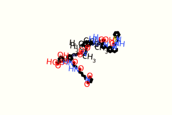 C/C(NCC1(C)CC2(C)CC(C)(C)CC2(OCCN(C)C(=O)OC/C=C/c2ccc(O[C@H]3C[C@@H](O)C[C@@H](C(=O)O)O3)c(NC(=O)CCNC(=O)CCCCCN3C(=O)C=CC3=O)c2)C1)=C(/C=N)c1ccc(-c2ccc3c(c2)N(C(=O)Nc2nc4ccccc4s2)CCC3)nc1C(=O)O